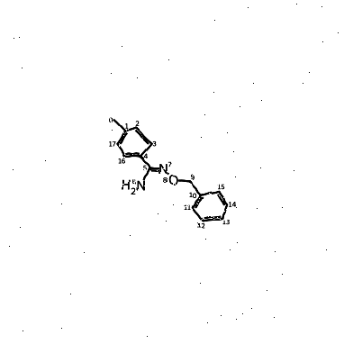 Cc1ccc(C(N)=NOCc2ccccc2)cc1